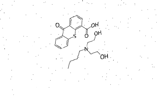 CCCCN(CCO)CCO.O=C(O)c1cccc2c(=O)c3ccccc3sc12